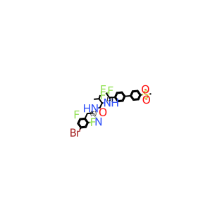 CC(C)C(N[C@@H](c1ccc(-c2ccc(S(C)(=O)=O)cc2)cc1)C(F)(F)F)C(=O)N[C@H](C#N)Cc1c(F)cc(Br)cc1F